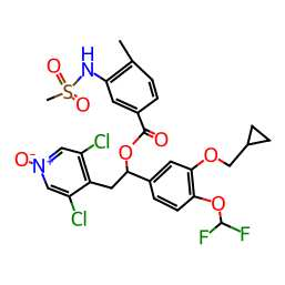 Cc1ccc(C(=O)OC(Cc2c(Cl)c[n+]([O-])cc2Cl)c2ccc(OC(F)F)c(OCC3CC3)c2)cc1NS(C)(=O)=O